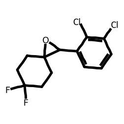 FC1(F)CCC2(CC1)OC2c1cccc(Cl)c1Cl